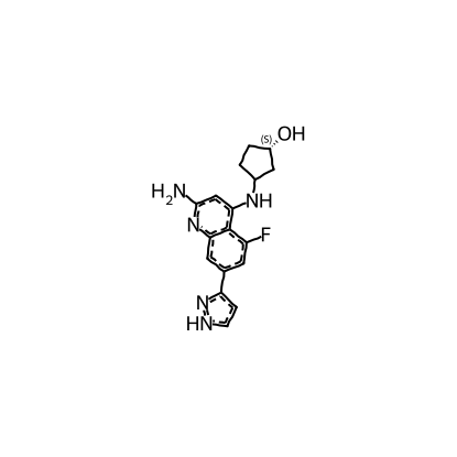 Nc1cc(NC2CC[C@H](O)C2)c2c(F)cc(-c3cc[nH]n3)cc2n1